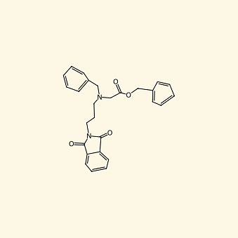 O=C(CN(CCCN1C(=O)c2ccccc2C1=O)Cc1ccccc1)OCc1ccccc1